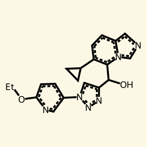 CCOc1ccc(-n2cc(C(O)c3c(C4CC4)ccc4cncn34)nn2)cn1